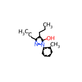 CCCc1nn(-c2ccccc2C)c(O)c1CCC